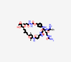 CC(/C=C/[C@H]1O[C@H](CC(=O)NNC(=O)OCc2ccc(NC(=O)[C@H](CCCNC(N)=O)NC(=O)[C@@H](N)C(C)C)cc2)C[C@@]2(CO2)[C@@H]1O)=C\C[C@@H]1O[C@H](C)[C@H](NC(=O)/C=C\[C@H](C)c2noc(C)n2)C[C@@H]1C